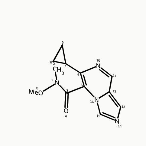 CON(C)C(=O)c1c(C2CC2)ncc2cncn12